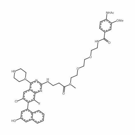 COc1cc(C(=O)NCCOCCOCCN(C)C(=O)CCNc2nc(N3CCNCC3)c3cc(Cl)c(-c4cc(O)cc5ccccc45)c(F)c3n2)ccc1NC(C)=O